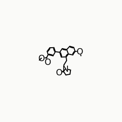 COC(=O)c1cccc(-c2cc(CCN3CCCC3=O)c3cc(OC)ccc3c2)c1